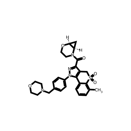 Cc1cccc2c1S(=O)(=O)Cc1c(C(=O)N3CCO[C@H]4C[C@H]43)nn(-c3ccc(CN4CCOCC4)cc3)c1-2